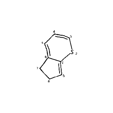 [C]1=C2SC=CC=C2CC1